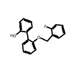 Oc1ccccc1-c1ccccc1OCc1ccccc1F